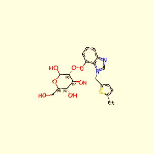 CCc1ccc(Cn2cnc3cccc(OO[C@H]4C(O)O[C@H](CO)[C@@H](O)[C@@H]4O)c32)s1